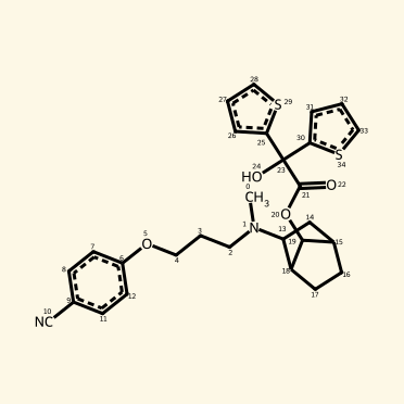 CN(CCCOc1ccc(C#N)cc1)C1CC2CCC1C2OC(=O)C(O)(c1cccs1)c1cccs1